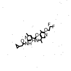 Cc1cc(C(=O)NC(C)c2cnc(OCC(F)F)c(C)c2)cc(NC(=O)CC2CC2)n1